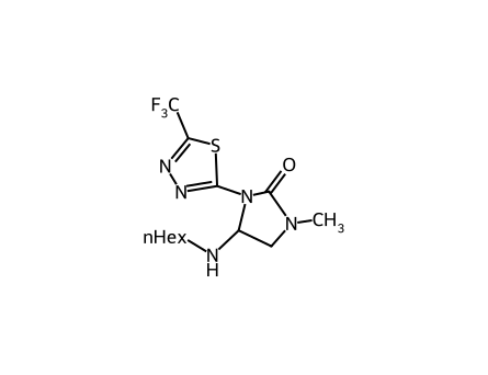 CCCCCCNC1CN(C)C(=O)N1c1nnc(C(F)(F)F)s1